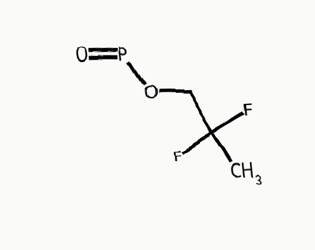 CC(F)(F)COP=O